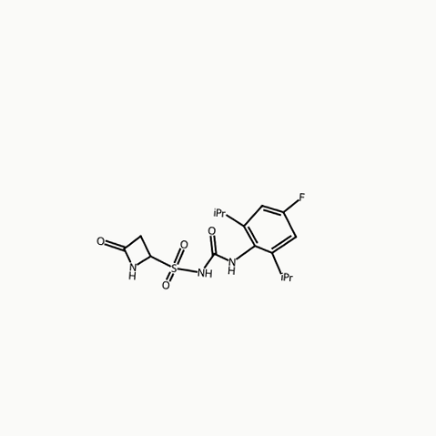 CC(C)c1cc(F)cc(C(C)C)c1NC(=O)NS(=O)(=O)C1CC(=O)N1